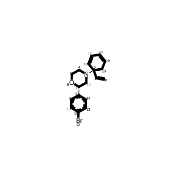 C=C[C@@]1(N2CCO[C@@H](c3ccc(Br)cc3)C2)C=CC=CC1